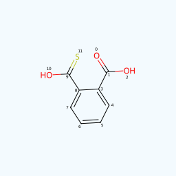 O=C(O)c1ccccc1C(O)=S